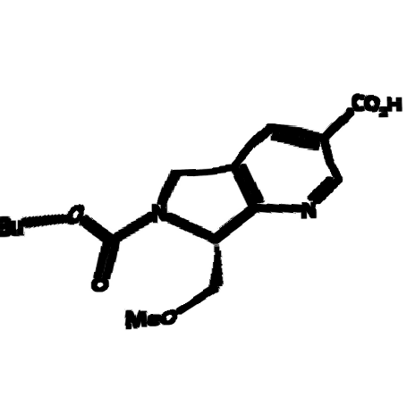 COC[C@H]1c2ncc(C(=O)O)cc2CN1C(=O)OC(C)(C)C